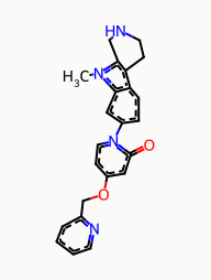 Cn1c2c(c3ccc(-n4ccc(OCc5ccccn5)cc4=O)cc31)CCNC2